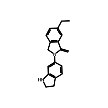 C=C1c2cc(CC)ccc2CN1c1ccc2c(c1)NCC2